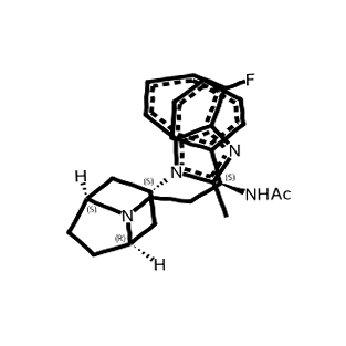 CC(=O)N[C@@H](CCN1[C@@H]2CC[C@H]1C[C@H](n1c(C)nc3c(F)cccc31)C2)c1ccccc1